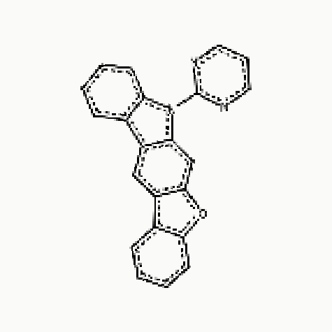 c1cnc(-n2c3ccccc3c3cc4c(cc32)oc2ccccc24)nc1